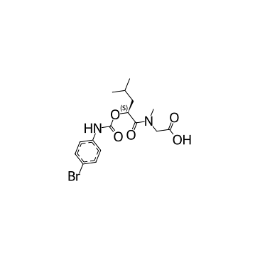 CC(C)C[C@H](OC(=O)Nc1ccc(Br)cc1)C(=O)N(C)CC(=O)O